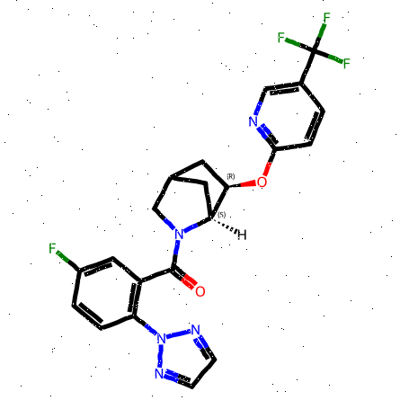 O=C(c1cc(F)ccc1-n1nccn1)N1CC2C[C@@H](Oc3ccc(C(F)(F)F)cn3)[C@@H]1C2